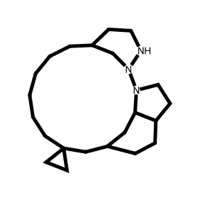 C1CCCC2(CC2)CC2CCC3CCN(C3C2)N2CC(CC1)CCN2